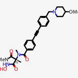 CNC(=O)[C@@](C)(C(=O)NO)N(C)C(=O)c1ccc(C#Cc2ccc(CN3CCC(OC)CC3)cc2)cc1